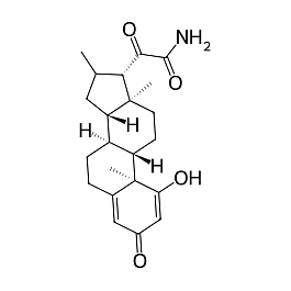 CC1C[C@H]2[C@@H]3CCC4=CC(=O)C=C(O)[C@]4(C)[C@H]3CC[C@]2(C)[C@H]1C(=O)C(N)=O